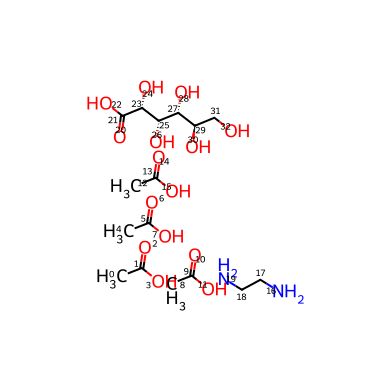 CC(=O)O.CC(=O)O.CC(=O)O.CC(=O)O.NCCN.O=C(O)[C@H](O)[C@@H](O)[C@H](O)[C@H](O)CO